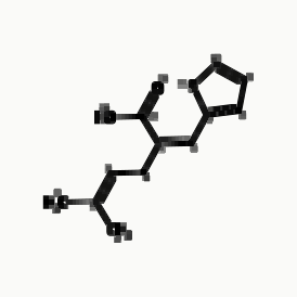 CC(C)=CCC(=Cc1cccs1)C(=O)O